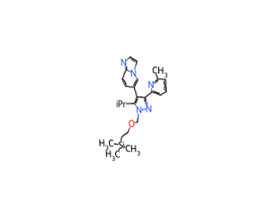 Cc1cccc(-c2nn(COCC[Si](C)(C)C)c(C(C)C)c2-c2ccc3nccn3c2)n1